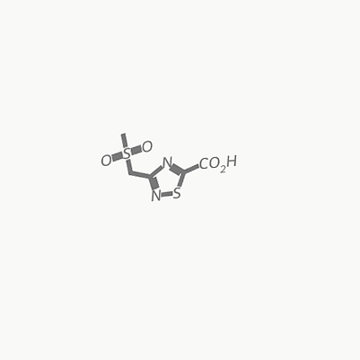 CS(=O)(=O)Cc1nsc(C(=O)O)n1